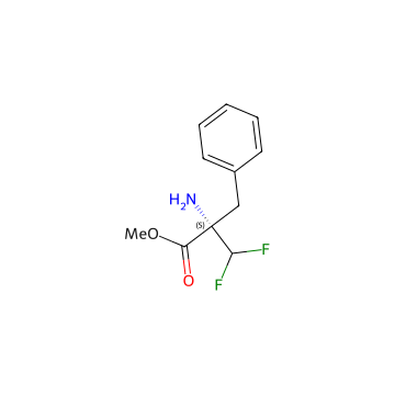 COC(=O)[C@@](N)(Cc1ccccc1)C(F)F